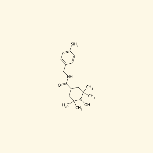 CC1(C)CC(C(=O)NCc2ccc([SiH3])cc2)CC(C)(C)N1O